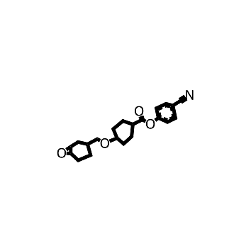 N#Cc1ccc(OC(=O)C2CCC(OCC3CCC4OC4C3)CC2)cc1